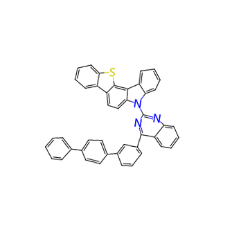 c1ccc(-c2ccc(-c3cccc(-c4nc(-n5c6ccccc6c6c7sc8ccccc8c7ccc65)nc5ccccc45)c3)cc2)cc1